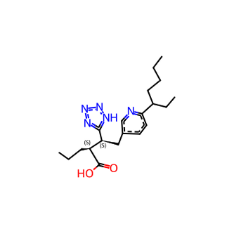 CCCCC(CC)c1ccc(C[C@H](c2nnn[nH]2)[C@H](CCC)C(=O)O)cn1